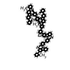 Cc1ccccc1-c1ccc2c(c1)c1ccccc1n2-c1cc(-c2ccc(C#N)c(-n3c4ccccc4c4cc(-c5cc(-c6ccc(-c7ccc8c9ccc(-c%10ccccc%10C)cc9n(-c9cc(-c%10ccc(C#N)c(-n%11c%12cc(-c%13ccccc%13C)ccc%12c%12ccc(-c%13ccccc%13C)cc%12%11)c%10)ccc9C#N)c8c7)c(C)c6)ccc5C)ccc43)c2)ccc1C#N